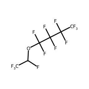 F[C](OC(F)(F)C(F)(F)C(F)(F)C(F)(F)F)C(F)(F)F